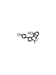 CCc1ccc(-c2ccc(Cl)cc2)cc1C1=C(O)C2C=CC(C2)C1=O